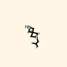 CC(C)CN1CC2(CNC2)C1